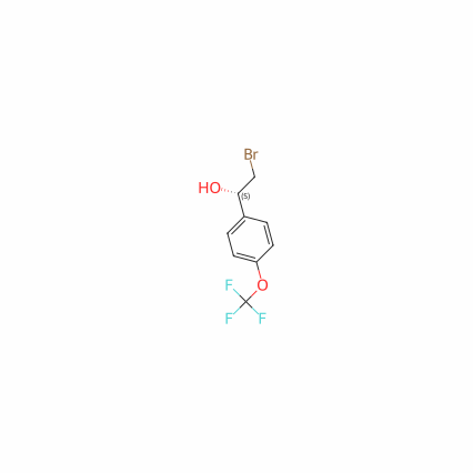 O[C@H](CBr)c1ccc(OC(F)(F)F)cc1